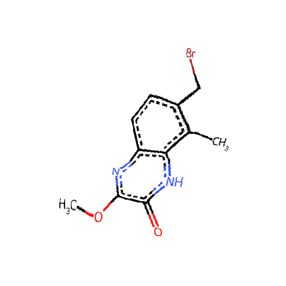 COc1nc2ccc(CBr)c(C)c2[nH]c1=O